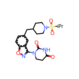 CC(C)S(=O)(=O)N1CCC(Cc2ccc3onc(N4CCC(=O)NC4=O)c3c2)CC1